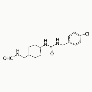 O=CNCC1CCC(NC(=O)NCc2ccc(Cl)cc2)CC1